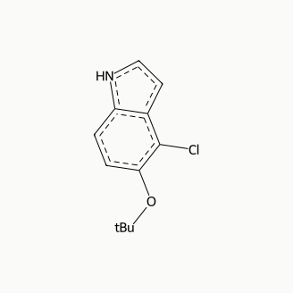 CC(C)(C)Oc1ccc2[nH]ccc2c1Cl